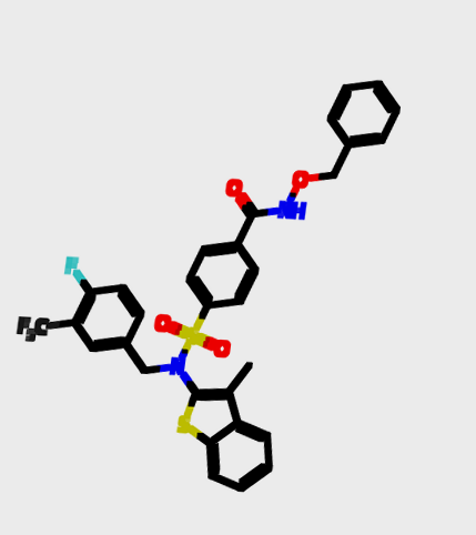 Cc1c(N(Cc2ccc(F)c(C(F)(F)F)c2)S(=O)(=O)c2ccc(C(=O)NOCc3ccccc3)cc2)sc2ccccc12